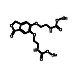 CC(C)(C)OC(=O)NCCOc1cc2c(cc1OCCNC(=O)OC(C)(C)C)C(=O)OC2